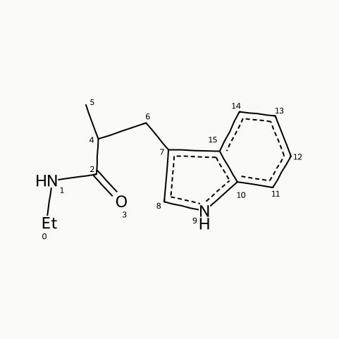 CCNC(=O)C(C)Cc1c[nH]c2ccccc12